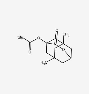 CC12CC3CC(C)(C1)CC(OC(=O)C(C)(C)C)(C2)C(=O)O3